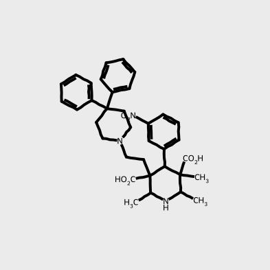 CC1NC(C)C(CCN2CCC(c3ccccc3)(c3ccccc3)CC2)(C(=O)O)C(c2cccc([N+](=O)[O-])c2)C1(C)C(=O)O